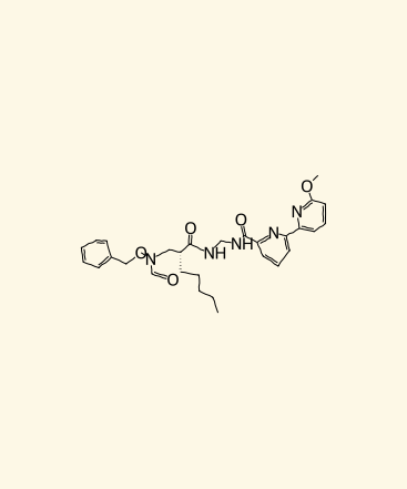 CCCCC[C@H](CN(C=O)OCc1ccccc1)C(=O)NCNC(=O)c1cccc(-c2cccc(OC)n2)n1